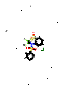 Cl.O=[SH](=O)c1ccccc1N(C(F)(F)F)S(=O)(=O)c1ccccc1